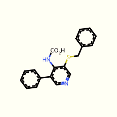 O=C(O)Nc1c(SCc2ccccc2)cncc1-c1ccccc1